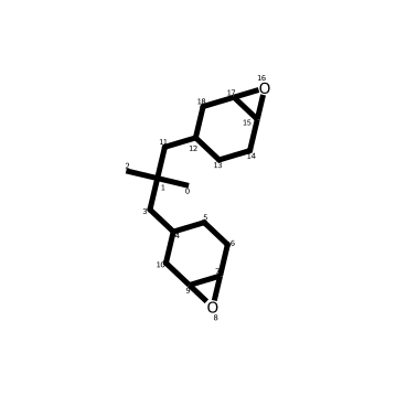 CC(C)(CC1CCC2OC2C1)CC1CCC2OC2C1